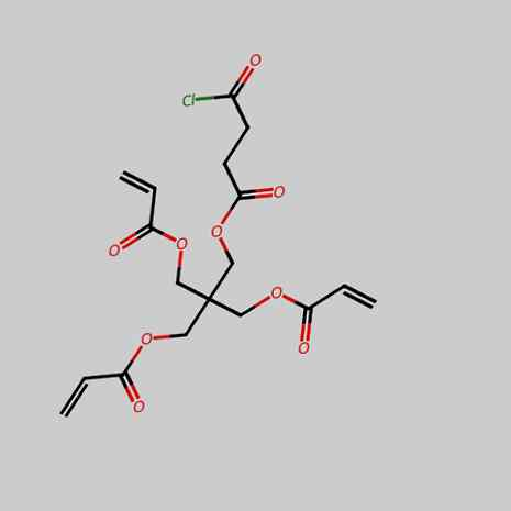 C=CC(=O)OCC(COC(=O)C=C)(COC(=O)C=C)COC(=O)CCC(=O)Cl